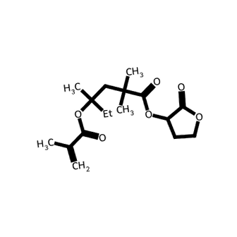 C=C(C)C(=O)OC(C)(CC)CC(C)(C)C(=O)OC1CCOC1=O